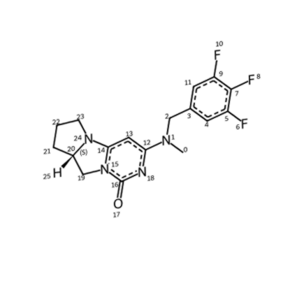 CN(Cc1cc(F)c(F)c(F)c1)c1cc2n(c(=O)n1)C[C@@H]1CCCN21